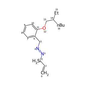 C=C[SiH2]N=NCc1ccccc1OCC(CC)CCCC